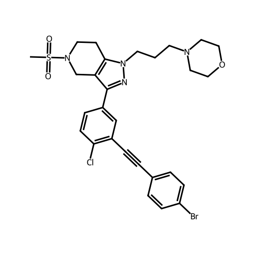 CS(=O)(=O)N1CCc2c(c(-c3ccc(Cl)c(C#Cc4ccc(Br)cc4)c3)nn2CCCN2CCOCC2)C1